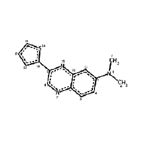 CN(C)c1ccc2n[c]c(-c3cccs3)nc2c1